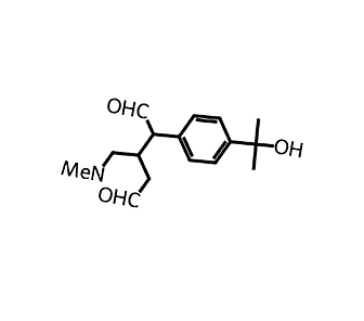 CNCC(CC=O)C(C=O)c1ccc(C(C)(C)O)cc1